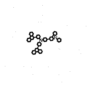 c1ccc(-n2c3ccccc3c3cc(-c4ccc(N(c5ccc(-c6cc7ccccc7c7ccccc67)cc5)c5cccc(-c6cc7ccccc7c7ccccc67)c5)cc4)ccc32)cc1